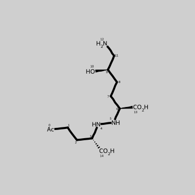 CC(=O)CC[C@H](NN[C@@H](CC[C@@H](O)CN)C(=O)O)C(=O)O